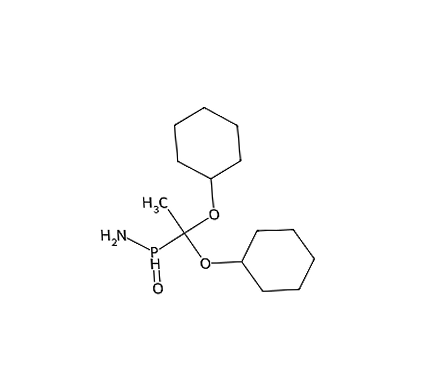 CC(OC1CCCCC1)(OC1CCCCC1)[PH](N)=O